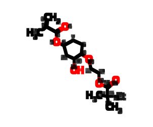 C=C(C)C(=O)OC1CCC(OCCOC(=O)C(C)(C)CC)C(O)C1